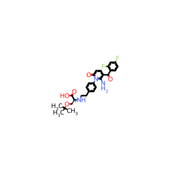 CC(C)(C)OC[C@H](NCCc1ccc(-n2c(N)c(C(=O)c3ccc(F)cc3F)ccc2=O)cc1)C(=O)O